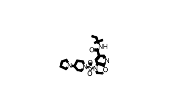 CCC(C)(C)NC(=O)c1cnc2c(c1)N(S(=O)(=O)N1CCC(N3CCCC3)CC1)CCO2